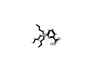 CCC[CH2][Sn]([CH2]CCC)([CH2]CCC)[c]1cccc(C(=O)O)n1